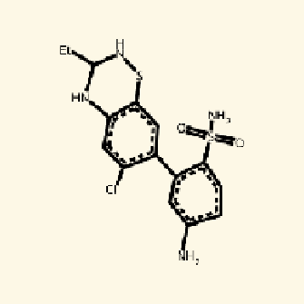 CCC1NSc2cc(-c3cc(N)ccc3S(N)(=O)=O)c(Cl)cc2N1